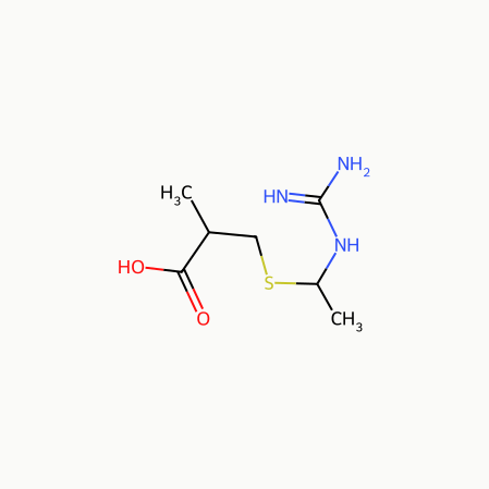 CC(NC(=N)N)SCC(C)C(=O)O